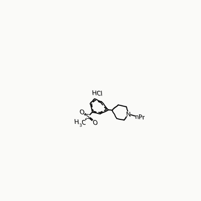 CCCN1CCC(c2cccc(S(C)(=O)=O)c2)CC1.Cl